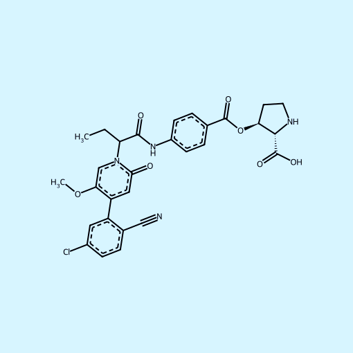 CCC(C(=O)Nc1ccc(C(=O)O[C@H]2CCN[C@@H]2C(=O)O)cc1)n1cc(OC)c(-c2cc(Cl)ccc2C#N)cc1=O